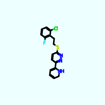 Fc1cccc(Cl)c1CCSc1ccc(C2=CC=CCN2)nn1